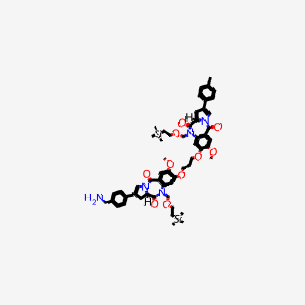 COc1cc2c(cc1OCCCOc1cc3c(cc1OC)C(=O)N1C=C(c4ccc(CN)cc4)C[C@H]1C(=O)N3COCC[Si](C)(C)C)N(COCC[Si](C)(C)C)C(=O)[C@@H]1CC(c3ccc(C)cc3)=CN1C2=O